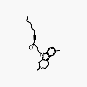 CCCCCC#CC(=O)CCn1c2c(c3cc(C)ccc31)CCN(C)C2